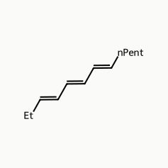 [CH2]CCCCC=CC=CC=CCC